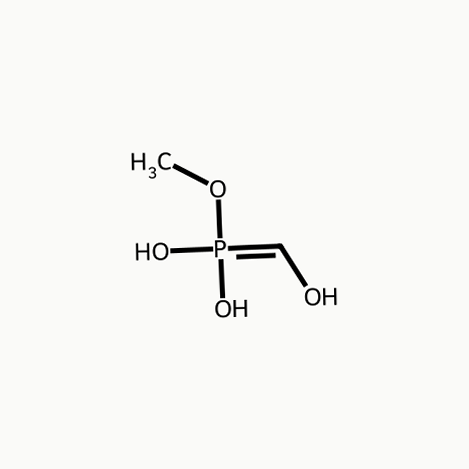 COP(O)(O)=CO